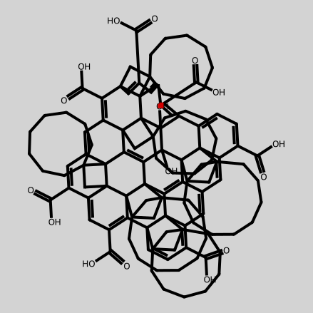 O=C(O)C1=CC23CC4(CCCCCCCC4)C24C(=C1)C(C(=O)O)=C1C2=CC=C(C(=O)O)C5=CC6=CC7=C(C(=O)O)C=CC89C%10=C(C(=O)O)C=C%11C(C(=O)O)=CC%12=CC(=C3C(=O)O)C3%13CC%14(CCCCCCCC%14)C34C1(O)C1(O)C3=C%13C%124C%12(CCCCCCCC%12)CC%114C%104C%10%11CCCCCCCCC(C%10)(C%11)C34C(=C6C13C14CCCCCCCCC(C1)(C4)C523)C78C12CCCCCCCC9(C1)C2